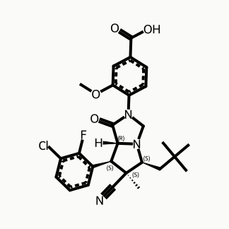 COc1cc(C(=O)O)ccc1N1CN2[C@@H](CC(C)(C)C)[C@@](C)(C#N)[C@@H](c3cccc(Cl)c3F)[C@@H]2C1=O